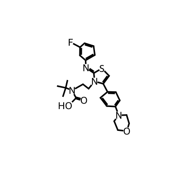 CC(C)(C)N(CCn1c(-c2ccc(N3CCOCC3)cc2)csc1=Nc1cccc(F)c1)C(=O)O